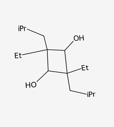 CCC1(CC(C)C)C(O)C(CC)(CC(C)C)C1O